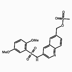 COc1ccc(OC)c(S(=O)(=O)Nc2cnc3ccc(COS(C)(=O)=O)cc3c2)c1